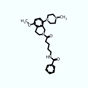 COc1ccc(N2CCN(C)CC2)c2c1CCN(C(=O)CCCCNC(=O)c1ccccc1)C2